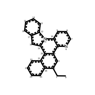 CCc1cc2c3ncccc3n3c4ccccc4cc3c2c2ccccc12